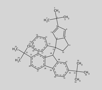 CC(C)(C)C1=CC2C(=C1)CCC2(c1ccccc1)C1c2cc(C(C)(C)C)ccc2-c2ccc(C(C)(C)C)cc21